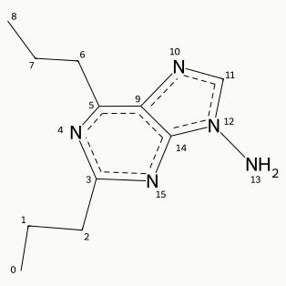 CCCc1nc(CCC)c2ncn(N)c2n1